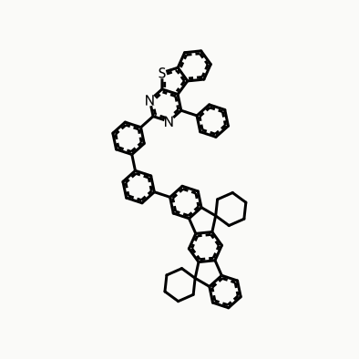 c1ccc(-c2nc(-c3cccc(-c4cccc(-c5ccc6c(c5)-c5cc7c(cc5C65CCCCC5)-c5ccccc5C75CCCCC5)c4)c3)nc3sc4ccccc4c23)cc1